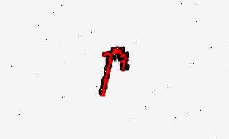 COCCOCCOCCOCCOCCOCCOCCC(=O)N(CCC(=O)N[C@H](C(=O)N[C@@H](C)C(=O)Nc1ccc(COC(=O)C(C)(C)C)cc1)C(C)C)CCC(C)(C)C